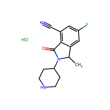 CC1c2cc(F)cc(C#N)c2C(=O)N1C1CCNCC1.Cl